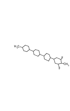 CC1CCC(C2CCC(C3CCC(C4CC(F)C(C)C(F)C4)CC3)CC2)CC1